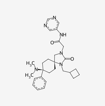 CN(C)[C@]1(c2ccccc2)CC[C@@]2(CC1)CN(CC(=O)Nc1cncnc1)C(=O)N2CC1CCC1